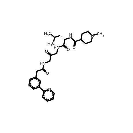 CC(C)C[C@H](NC(=O)C1CCN(C)CC1)C(=O)NCC(=O)CNC(=O)Cc1cccc(-c2ccccn2)c1